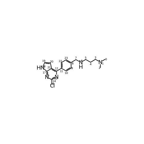 CN(C)CCCNCc1ccc(-c2nc(Cl)nc3[nH]ccc23)cc1